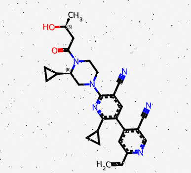 C=Cc1cc(-c2cc(C#N)c(N3CCN(C(=O)C[C@H](C)O)[C@H](C4CC4)C3)nc2C2CC2)c(C#N)cn1